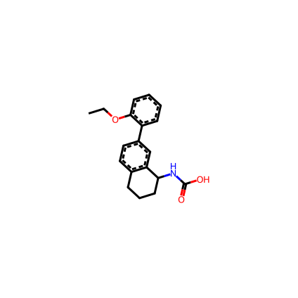 CCOc1ccccc1-c1ccc2c(c1)C(NC(=O)O)CCC2